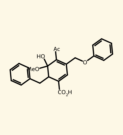 COC1(O)C(C(C)=O)=C(COc2ccccc2)C=C(C(=O)O)C1Cc1ccccc1